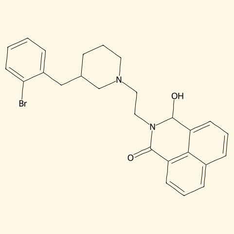 O=C1c2cccc3cccc(c23)C(O)N1CCN1CCCC(Cc2ccccc2Br)C1